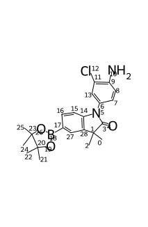 CC1(C)C(=O)N(c2ccc(N)c(Cl)c2)c2ccc(B3OC(C)(C)C(C)(C)O3)cc21